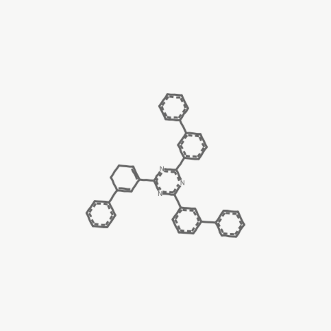 C1=C(c2ccccc2)CCC=C1c1nc(-c2cccc(-c3ccccc3)c2)nc(-c2cccc(-c3ccccc3)c2)n1